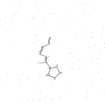 C=C/C=C\C=C(/C)B1OCCO1